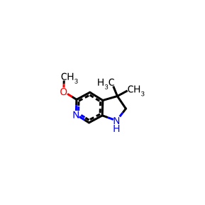 COc1cc2c(cn1)NCC2(C)C